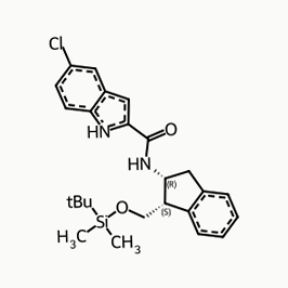 CC(C)(C)[Si](C)(C)OC[C@H]1c2ccccc2C[C@H]1NC(=O)c1cc2cc(Cl)ccc2[nH]1